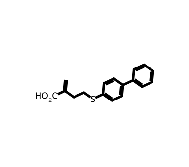 C=C(CCSc1ccc(-c2ccccc2)cc1)C(=O)O